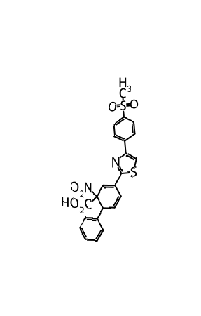 CS(=O)(=O)c1ccc(-c2csc(C3=CC(C(=O)O)([N+](=O)[O-])C(c4ccccc4)C=C3)n2)cc1